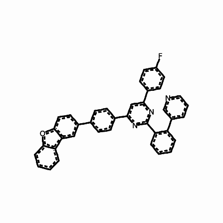 Fc1ccc(-c2cc(-c3ccc(-c4ccc5oc6ccccc6c5c4)cc3)nc(-c3ccccc3-c3cccnc3)n2)cc1